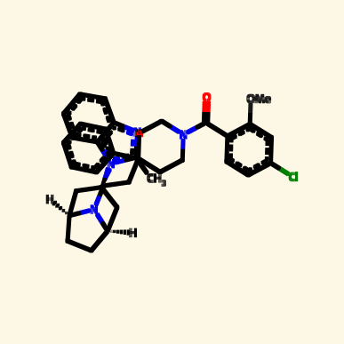 COc1cc(Cl)ccc1C(=O)N1CCC(CCN2[C@@H]3CC[C@H]2C[C@@H](n2c(C)nc4ccccc42)C3)(c2ccccc2)CC1